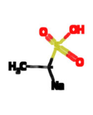 C[C]([Na])S(=O)(=O)O